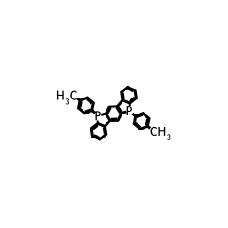 Cc1ccc(-p2c3ccccc3c3cc4c(cc32)c2ccccc2p4-c2ccc(C)cc2)cc1